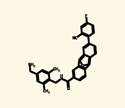 Cc1cc(CN)cc(C)c1CNC(=O)c1ccc2c(c1)c1oc2c2ccc(-c3ccc(F)cc3C#N)cc21